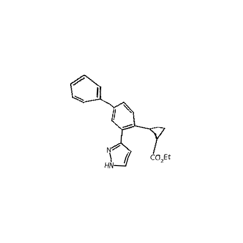 CCOC(=O)C1CC1c1ccc(-c2ccccc2)cc1-c1cc[nH]n1